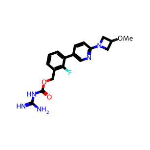 COC1CN(c2ccc(-c3cccc(COC(=O)NC(=N)N)c3F)cn2)C1